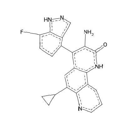 Nc1c(-c2ccc(F)c3[nH]ncc23)c2cc(C3CC3)c3ncccc3c2[nH]c1=O